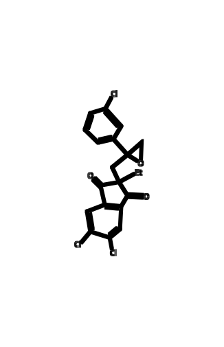 CCC1(CC2(c3cccc(Cl)c3)CO2)C(=O)c2cc(Cl)c(Cl)cc2C1=O